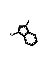 [CH2]n1cc(CC)c2ccccc21